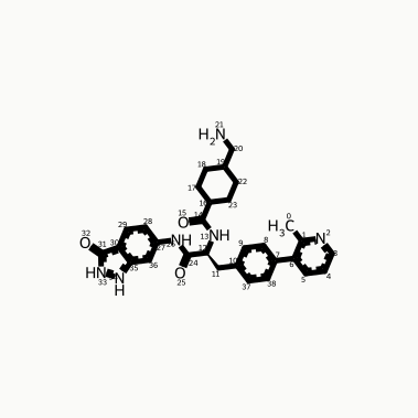 Cc1ncccc1-c1ccc(C[C@H](NC(=O)C2CCC(CN)CC2)C(=O)Nc2ccc3c(=O)[nH][nH]c3c2)cc1